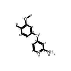 COc1cc(Oc2ccnc(N)c2)ccc1C